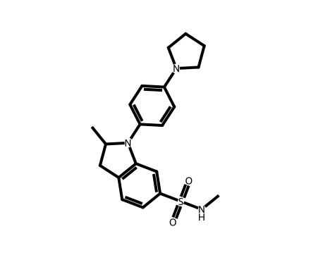 CNS(=O)(=O)c1ccc2c(c1)N(c1ccc(N3CCCC3)cc1)C(C)C2